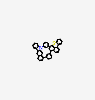 c1ccc(-n2c3ccccc3c3cc4cccc(-c5cccc(-c6ccc7c8c(cccc68)-c6ccccc6S7)c5)c4cc32)cc1